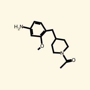 COc1cc(N)ccc1CC1CCN(C(C)=O)CC1